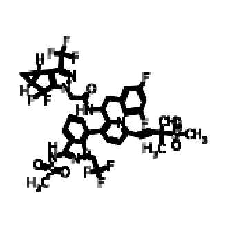 CC(C)(C#Cc1ccc(-c2cccc3c(NS(C)(=O)=O)nn(CC(F)(F)F)c23)c(C(Cc2cc(F)cc(F)c2)NC(=O)Cn2nc(C(F)(F)F)c3c2C(F)(F)[C@@H]2C[C@H]32)n1)S(C)(=O)=O